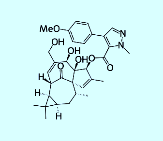 COc1ccc(-c2cnn(C)c2C(=O)O[C@H]2C(C)=C[C@]34C(=O)[C@@H](C=C(CO)[C@@H](O)[C@]23O)[C@H]2[C@@H](C[C@H]4C)C2(C)C)cc1